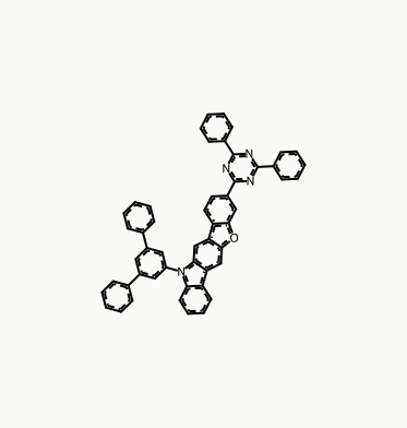 c1ccc(-c2cc(-c3ccccc3)cc(-n3c4ccccc4c4cc5oc6cc(-c7nc(-c8ccccc8)nc(-c8ccccc8)n7)ccc6c5cc43)c2)cc1